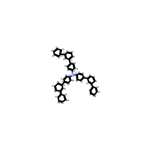 C1=C=C(c2cccc(-c3ccc(N(c4ccc(-c5cccc(-c6ccccc6)c5)cc4)c4ccc(-c5cccc(-c6ccccc6)c5)cc4)cc3)c2)C=CC=1